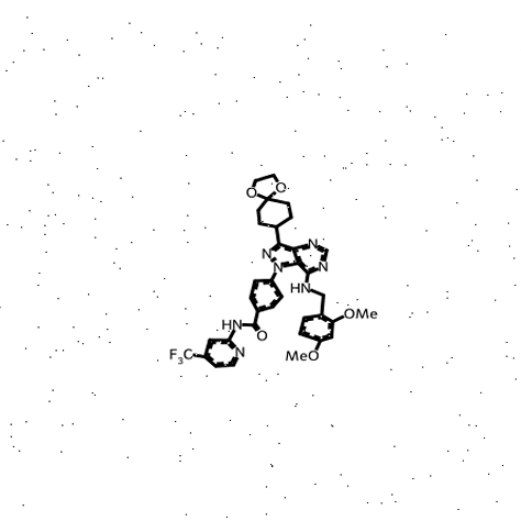 COc1ccc(CNc2ncnc3c(C4CCC5(CC4)OCCO5)nn(-c4ccc(C(=O)Nc5cc(C(F)(F)F)ccn5)cc4)c23)c(OC)c1